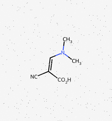 CN(C)C=C(C#N)C(=O)O